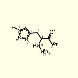 CC(C)C(=O)C(Cc1cn(C)nn1)NN